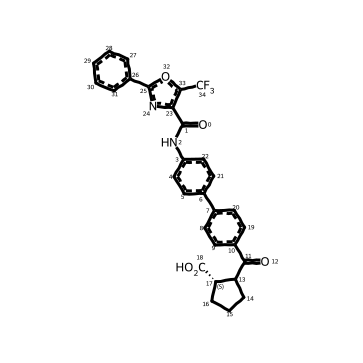 O=C(Nc1ccc(-c2ccc(C(=O)C3CCC[C@@H]3C(=O)O)cc2)cc1)c1nc(-c2ccccc2)oc1C(F)(F)F